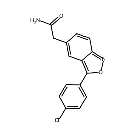 NC(=O)Cc1ccc2noc(-c3ccc(Cl)cc3)c2c1